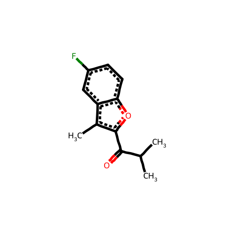 Cc1c(C(=O)C(C)C)oc2ccc(F)cc12